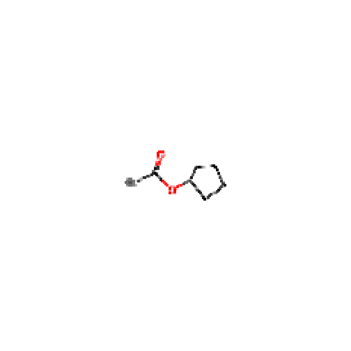 C[CH]C(=O)OC1CCCC1